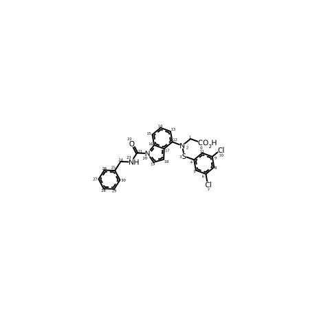 O=C(O)CN(Sc1cc(Cl)cc(Cl)c1)c1cccc2c1ccn2C(=O)NCc1ccccc1